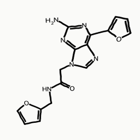 Nc1nc(-c2ccco2)c2ncn(CC(=O)NCc3ccco3)c2n1